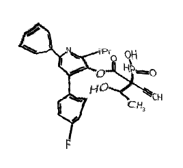 C#CC(C(=O)Oc1c(-c2ccc(F)cc2)cc(-c2ccccc2)nc1C(C)C)(C(C)O)[PH](=O)O